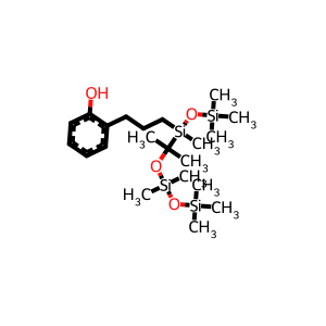 CC(C)(O[Si](C)(C)O[Si](C)(C)C)[Si](C)(CCCc1ccccc1O)O[Si](C)(C)C